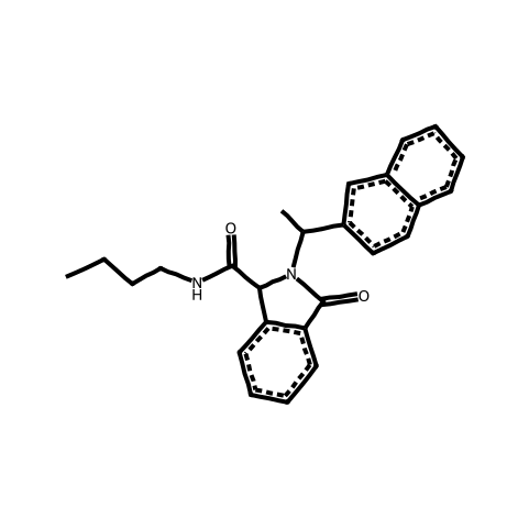 CCCCNC(=O)C1c2ccccc2C(=O)N1C(C)c1ccc2ccccc2c1